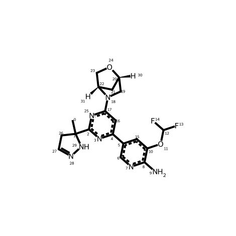 CC1(c2nc(-c3cnc(N)c(OC(F)F)c3)cc(N3C[C@@H]4C[C@H]3CO4)n2)CC=NN1